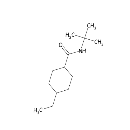 CCC1CCC(C(=O)NC(C)(C)C)CC1